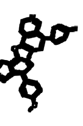 COc1ccc(-c2cc3c4cc(-c5ccc(C)cc5)c5cnccc5c4oc3c3ccncc23)cc1